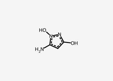 Nc1cc(O)nn1O